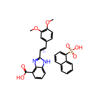 COc1ccc(/C=C/c2nc3c(C(=O)O)cccc3[nH]2)cc1OC.O=S(=O)(O)c1cccc2ccccc12